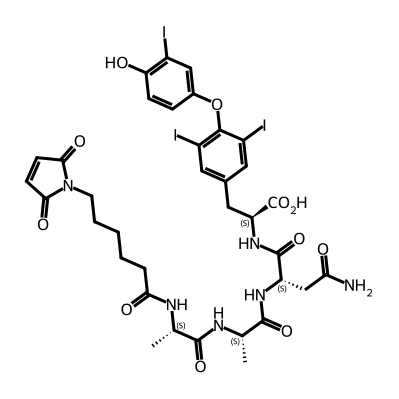 C[C@H](NC(=O)CCCCCN1C(=O)C=CC1=O)C(=O)N[C@@H](C)C(=O)N[C@@H](CC(N)=O)C(=O)N[C@@H](Cc1cc(I)c(Oc2ccc(O)c(I)c2)c(I)c1)C(=O)O